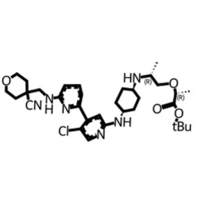 C[C@H](CO[C@H](C)C(=O)OC(C)(C)C)N[C@H]1CC[C@H](Nc2cc(-c3cccc(NCC4(C#N)CCOCC4)n3)c(Cl)cn2)CC1